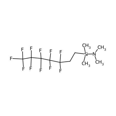 CN(C)[Si](C)(C)CCC(F)(F)C(F)(F)C(F)(F)C(F)(F)C(F)(F)F